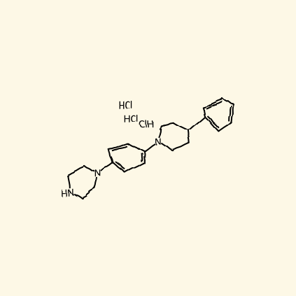 Cl.Cl.Cl.c1ccc(C2CCN(c3ccc(N4CCNCC4)cc3)CC2)cc1